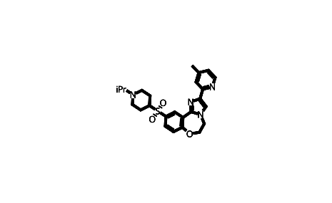 Cc1ccnc(-c2cn3c(n2)-c2cc(S(=O)(=O)C4CCN(C(C)C)CC4)ccc2OCC3)c1